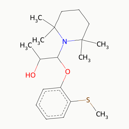 CSc1ccccc1OC(C(C)O)N1C(C)(C)CCCC1(C)C